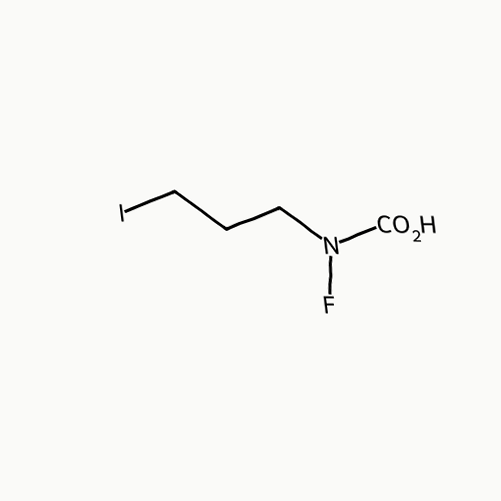 O=C(O)N(F)CCCI